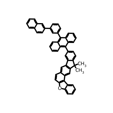 CC1(C)c2ccc(-c3c4ccccc4c(-c4cccc(-c5ccc6ccccc6c5)c4)c4ccccc34)cc2-c2cc3ccc4oc5ccccc5c4c3cc21